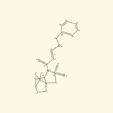 CC1(C)C2CCC13CS(=O)(=O)N(C(=O)/C=C/OCc1ccccc1)C3C2